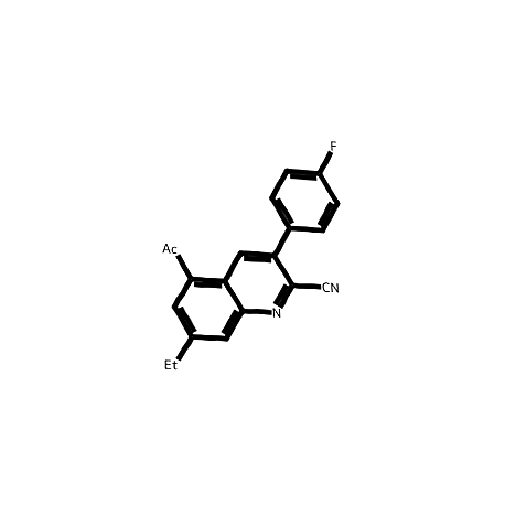 CCc1cc(C(C)=O)c2cc(-c3ccc(F)cc3)c(C#N)nc2c1